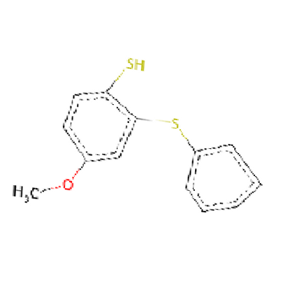 COc1ccc(S)c(Sc2ccccc2)c1